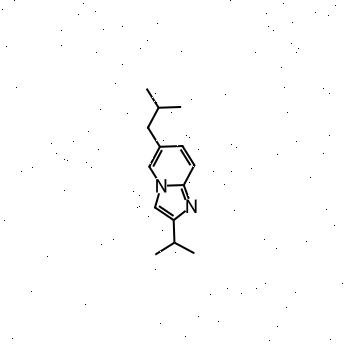 CC(C)Cc1ccc2nc(C(C)C)cn2c1